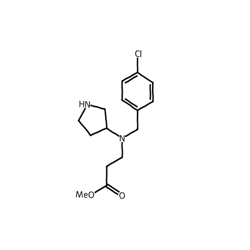 COC(=O)CCN(Cc1ccc(Cl)cc1)C1CCNC1